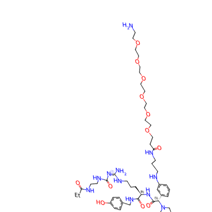 CCC(=O)NCCNC(=O)/N=C(/N)NCCC[C@@H](NC(=O)[C@H](c1cccc(NCCCNC(=O)CCOCCOCCOCCOCCOCCOCCN)c1)N1Cc2ccccc2C1)C(=O)NCc1ccc(O)cc1